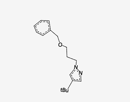 CC(C)(C)c1cnn(CCCOCc2ccccc2)c1